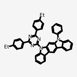 CCc1ccc(-c2nc(-c3ccc(CC)cc3)nc(-n3c4ccccc4c4cc5c6ccccc6n(-c6ccccc6)c5cc43)n2)cc1